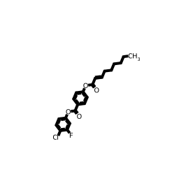 CCCCCCC=CC(=O)Oc1ccc(C(=O)Oc2ccc(Cl)c(F)c2)cc1